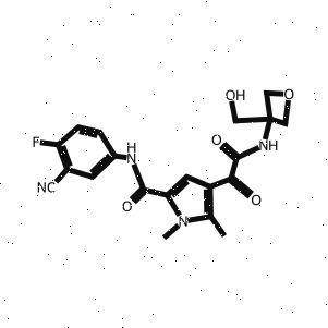 Cc1c(C(=O)C(=O)NC2(CO)COC2)cc(C(=O)Nc2ccc(F)c(C#N)c2)n1C